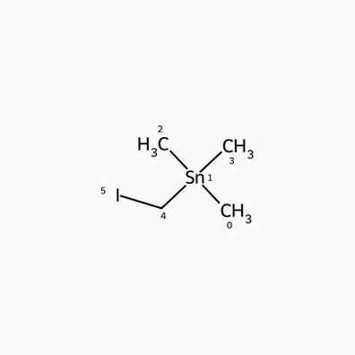 [CH3][Sn]([CH3])([CH3])[CH2]I